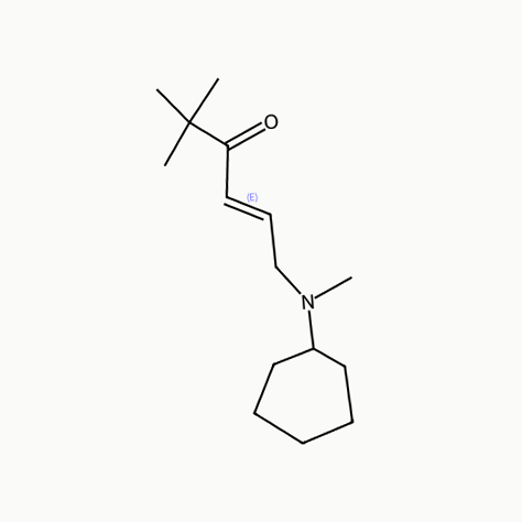 CN(C/C=C/C(=O)C(C)(C)C)C1CCCCC1